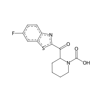 O=C(c1nc2ccc(F)cc2s1)C1CCCCN1C(=O)O